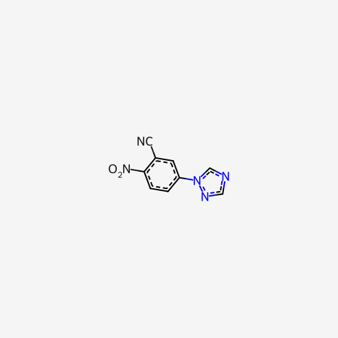 N#Cc1cc(-n2cncn2)ccc1[N+](=O)[O-]